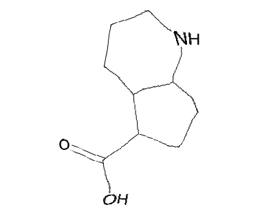 O=C(O)C1CCC2NCCCC21